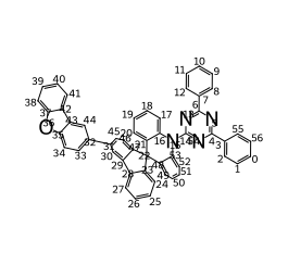 c1ccc(-c2nc(-c3ccccc3)nc(N3c4ccccc4C4(c5ccccc5-c5cc(-c6ccc7oc8ccccc8c7c6)ccc54)c4ccccc43)n2)cc1